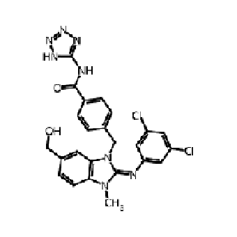 Cn1/c(=N/c2cc(Cl)cc(Cl)c2)n(Cc2ccc(C(=O)Nc3nnn[nH]3)cc2)c2cc(CO)ccc21